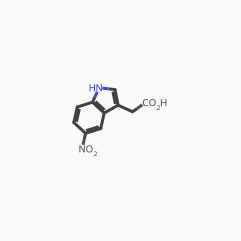 O=C(O)Cc1c[nH]c2ccc([N+](=O)[O-])cc12